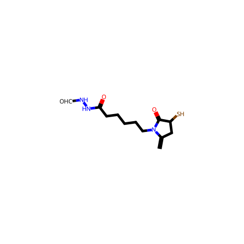 C=C1CC(S)C(=O)N1CCCCCC(=O)NNC=O